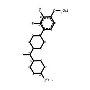 CCCCCCCCOc1ccc(C2CCC(C(C)C3CCC(CCCCC)CC3)CC2)c(F)c1F